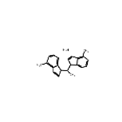 Cc1cccc2c1C=CC2C(C)C1C=Cc2c(C)cccc21.[NaH]